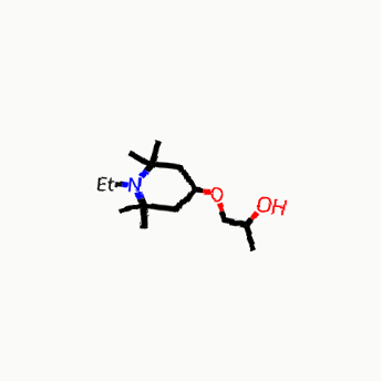 CCN1C(C)(C)CC(OCC(C)O)CC1(C)C